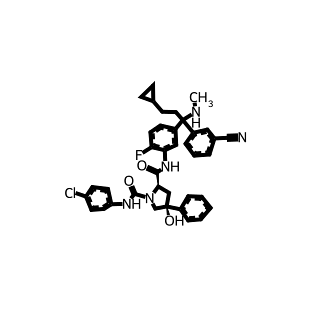 CNC(CCC1CC1)(c1cccc(C#N)c1)c1ccc(F)c(NC(=O)[C@H]2C[C@](O)(c3ccccc3)CN2C(=O)Nc2ccc(Cl)cc2)c1